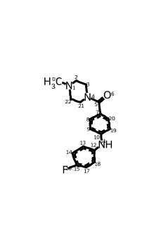 CN1CCN(C(=O)c2ccc(Nc3ccc(F)cc3)cc2)CC1